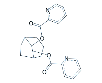 O=C(OC1C2CCCC(CC2)C1OC(=O)c1ccccn1)c1ccccn1